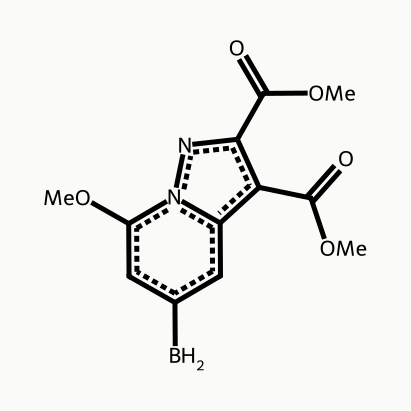 Bc1cc(OC)n2nc(C(=O)OC)c(C(=O)OC)c2c1